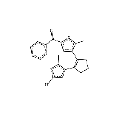 Cc1sc(Cl)cc1C1=C(c2cc(C(=O)c3ccccc3)sc2C)CCC1